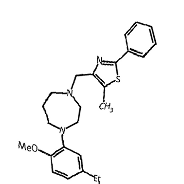 CCc1ccc(OC)c(N2CCCN(Cc3nc(-c4ccccc4)sc3C)CC2)c1